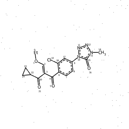 CCOC=C(C(=O)c1ccc(-n2nnn(C)c2=O)cc1Cl)C(=O)C1CC1